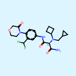 NC(=O)[C@@H](C(=O)Nc1ccc(N2CCOCC2=O)c(C(F)F)c1)N(CC1CC1)C1CCC1